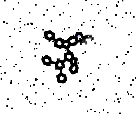 C=C/C=C\c1cc2c3cc(-c4ccccc4)ccc3n(-c3cc(-c4nc(-c5ccccc5)nc(-c5ccccc5)n4)c4c(c3)oc3ccccc34)c2cc1C